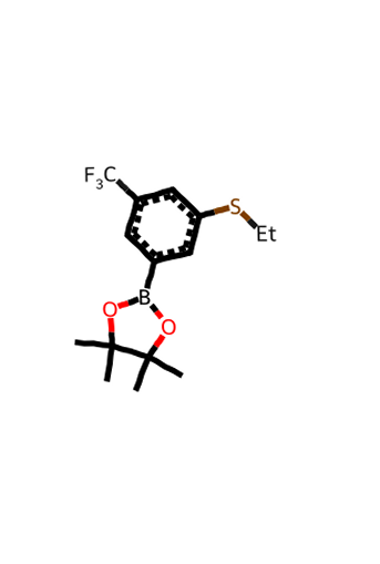 CCSc1cc(B2OC(C)(C)C(C)(C)O2)cc(C(F)(F)F)c1